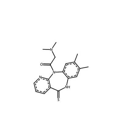 Cc1cc2c(cc1C)N(C(=O)CN(C)C)c1ncccc1C(=S)N2